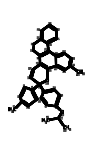 Cc1ccc(C2(c3ccc(OC(C)C)cc3)C=Cc3c4c(c5ccc(C)cc5c3O2)-c2ccccc2CC4)cc1